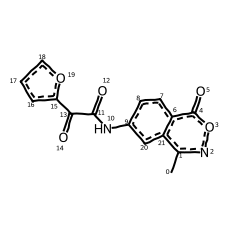 Cc1noc(=O)c2ccc(NC(=O)C(=O)c3ccco3)cc12